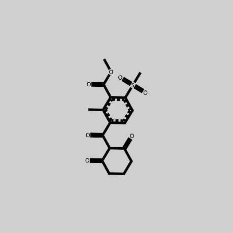 COC(=O)c1c(S(C)(=O)=O)ccc(C(=O)C2C(=O)CCCC2=O)c1C